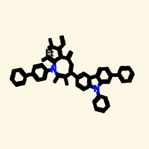 C=C/C(C(=C)C)=C1\C(=C)/C=C(c2ccc3c(c2)c2ccc(-c4ccccc4)cc2n3-c2ccccc2)\C(C)=C(\C)N(c2ccc(-c3ccccc3)cc2)\C1=C(/C)CC